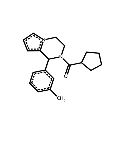 Cc1cccc(C2c3cccn3CCN2C(=O)C2CCCC2)c1